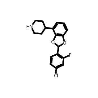 Fc1cc(Cl)ccc1C1Oc2cccc(C3CCNCC3)c2O1